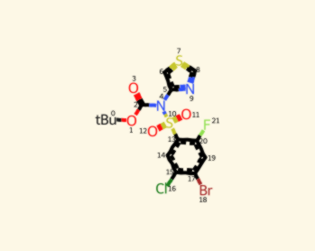 CC(C)(C)OC(=O)N(c1cscn1)S(=O)(=O)c1cc(Cl)c(Br)cc1F